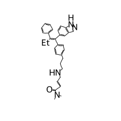 CCC(=C(c1ccc(CCCNCC=CC(=O)N(C)C)cc1)c1ccc2[nH]ncc2c1)c1ccccc1